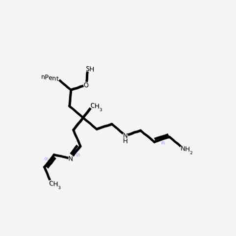 C/C=C\N=C/CC(C)(CCNC/C=C/N)CC(CCCCC)OS